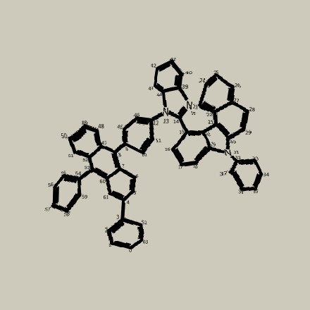 c1ccc(-c2ccc3c(-c4ccc(-n5c(-c6cccc7c6c6c8ccccc8ccc6n7-c6ccccc6)nc6ccccc65)cc4)c4ccccc4c(-c4ccccc4)c3c2)cc1